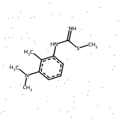 CSC(=N)Nc1cccc(N(C)C)c1C